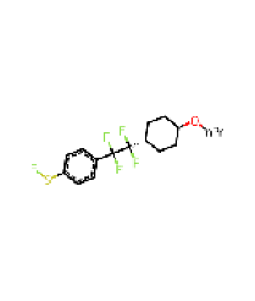 CCCO[C@H]1CC[C@H](C(F)(F)C(F)(F)c2ccc(SF)cc2)CC1